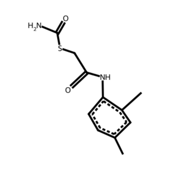 Cc1ccc(NC(=O)CSC(N)=O)c(C)c1